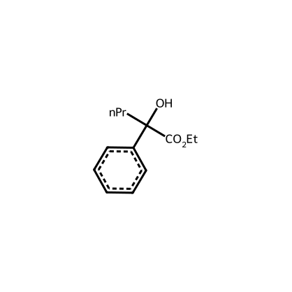 CCCC(O)(C(=O)OCC)c1ccccc1